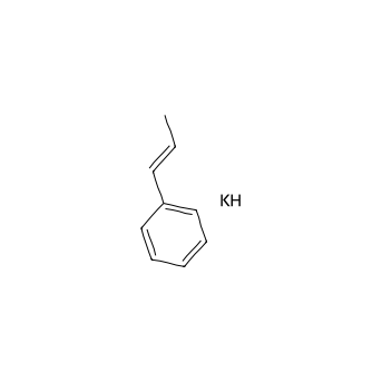 CC=Cc1ccccc1.[KH]